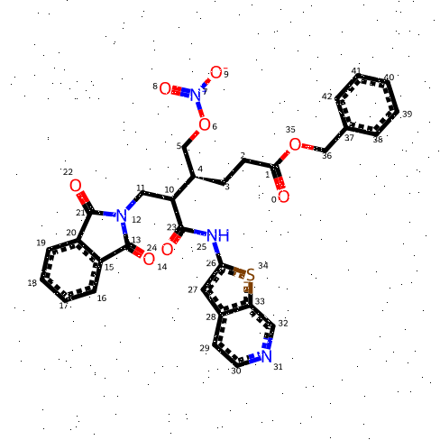 O=C(CC[C@H](CO[N+](=O)[O-])C(CN1C(=O)c2ccccc2C1=O)C(=O)Nc1cc2ccncc2s1)OCc1ccccc1